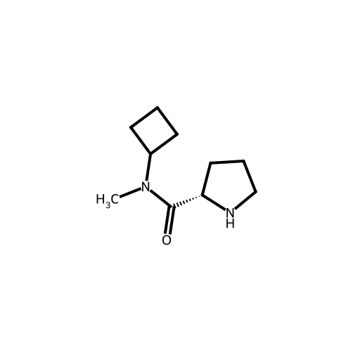 CN(C(=O)[C@@H]1CCCN1)C1CCC1